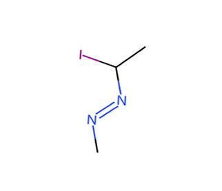 CN=NC(C)I